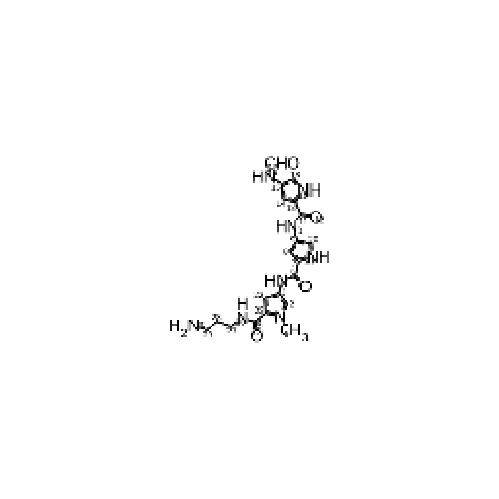 Cn1cc(NC(=O)c2cc(NC(=O)c3cc(NC=O)c[nH]3)c[nH]2)cc1C(=O)NCCCN